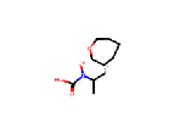 CC(C[C@H]1CCCCOC1)N(O)C(=O)O